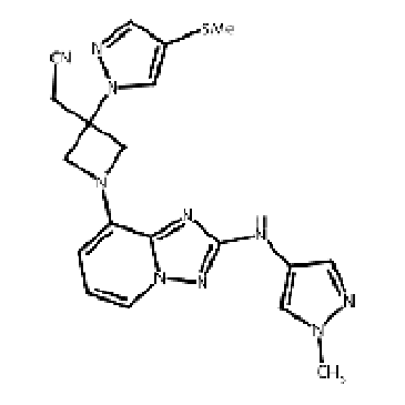 CSc1cnn(C2(CC#N)CN(c3cccn4nc(Nc5cnn(C)c5)nc34)C2)c1